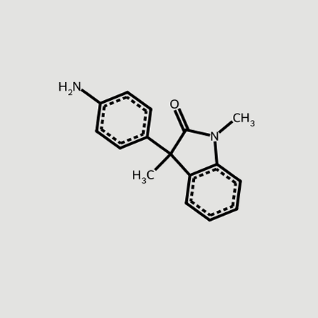 CN1C(=O)C(C)(c2ccc(N)cc2)c2ccccc21